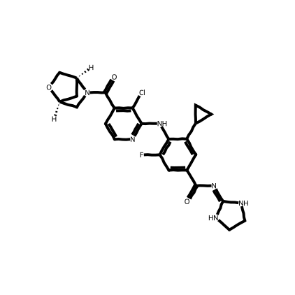 O=C(N=C1NCCN1)c1cc(F)c(Nc2nccc(C(=O)N3C[C@@H]4C[C@H]3CO4)c2Cl)c(C2CC2)c1